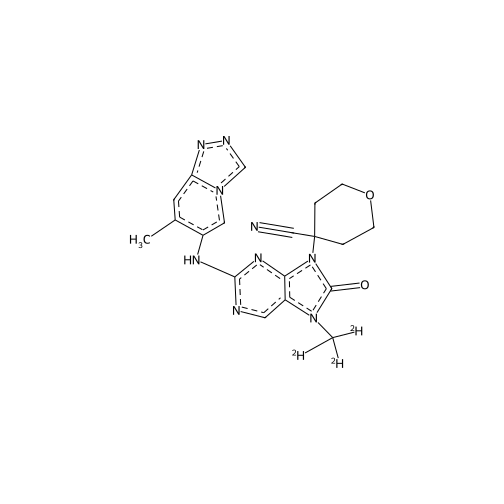 [2H]C([2H])([2H])n1c(=O)n(C2(C#N)CCOCC2)c2nc(Nc3cn4cnnc4cc3C)ncc21